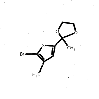 Cc1cc(C2(C)OCCO2)sc1Br